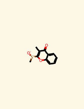 Cc1c([S+](C)[O-])oc2ccccc2c1=O